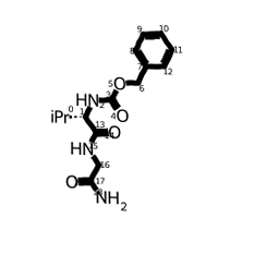 CC(C)[C@H](NC(=O)OCc1ccccc1)C(=O)NCC(N)=O